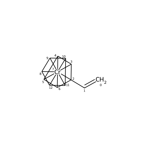 C=C[C]12[CH]3[CH]4[CH]5[CH]1[Cr]45321678[CH]2[CH]1[CH]6[CH]7[CH]28